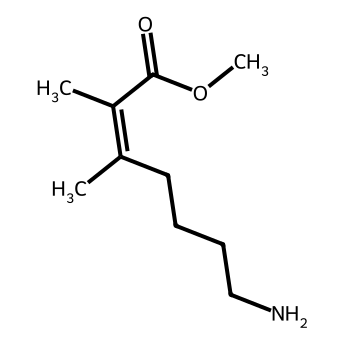 COC(=O)C(C)=C(C)CCCCN